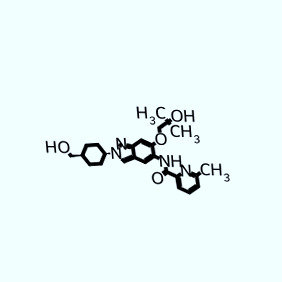 Cc1cccc(C(=O)Nc2cc3cn([C@H]4CC[C@H](CO)CC4)nc3cc2OCC(C)(C)O)n1